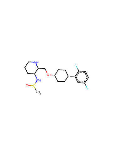 C[S+]([O-])NC1CCCN[C@H]1CO[C@H]1CC[C@@H](c2cc(F)ccc2F)CC1